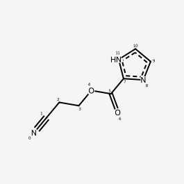 N#CCCOC(=O)c1ncc[nH]1